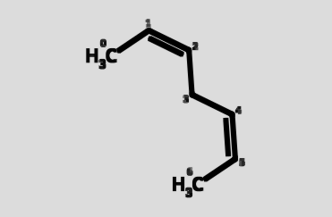 C/C=C\C/C=C\C